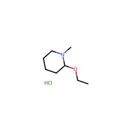 CCOC1CCCCN1C.Cl